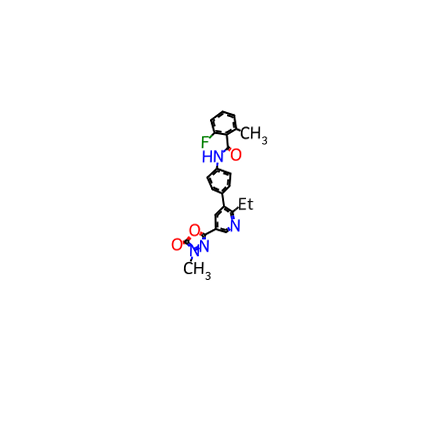 CCc1ncc(-c2nn(C)c(=O)o2)cc1-c1ccc(NC(=O)c2c(C)cccc2F)cc1